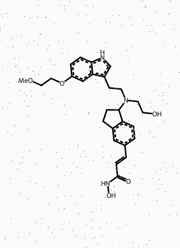 COCCOc1ccc2[nH]cc(CCN(CCO)C3CCc4cc(C=CC(=O)NO)ccc43)c2c1